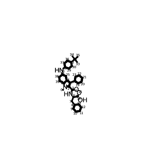 Cn1c(C(=O)NC(Cc2ccccc2)C(=O)O)c(-c2ccccc2)c2cc(Nc3ccc(C(C)(C)C)cc3)ccc21